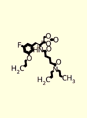 C=CCOc1cc(F)cc(C[C@H](NC(=O)CCCC(=O)N(CC=C)CCC)[C@H]2COC(=O)O2)c1